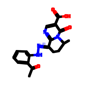 CC(=O)c1ccccc1N/N=C1\CCC(C)n2c1ncc(C(=O)O)c2=O